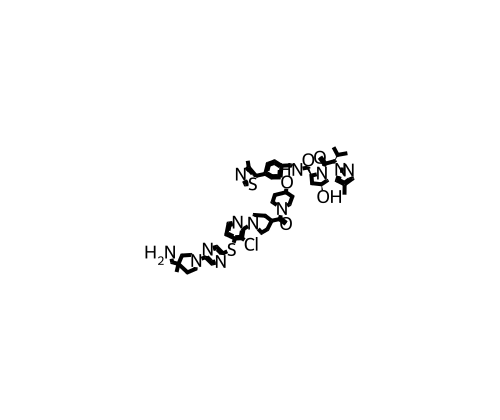 Cc1cnn([C@H](C(=O)N2C[C@H](O)C[C@H]2C(=O)NCc2ccc(-c3scnc3C)cc2OC2CCN(C(=O)C3CCN(c4nccc(Sc5cnc(N6CCC(C)(CN)CC6)cn5)c4Cl)CC3)CC2)C(C)C)c1